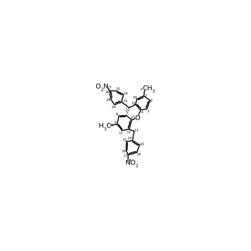 Cc1ccc(Oc2ccc(C)cc2Cc2ccc([N+](=O)[O-])cc2)c(Cc2ccc([N+](=O)[O-])cc2)c1